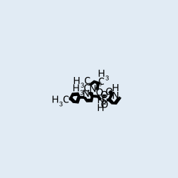 Cc1ccc(-c2ccc(C(=O)NS(=O)(=O)c3ccc[nH]c3=O)c(N3C[C@@H](C)CC3(C)C)n2)cc1